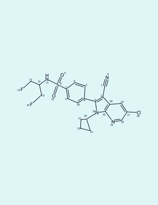 N#Cc1c(-c2ccc(S(=O)(=O)NC(CF)CF)cc2)n(C2CCC2)c2ncc(Cl)cc12